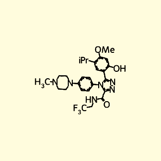 COc1cc(O)c(-c2nnc(C(=O)NCC(F)(F)F)n2-c2ccc(N3CCN(C)CC3)cc2)cc1C(C)C